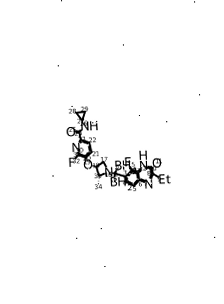 BC(B)(c1ccc2nc(CC)c(=O)[nH]c2c1F)N1C[C@H](Oc2ccc(C(=O)NC3CC3)nc2F)[C@H]1C